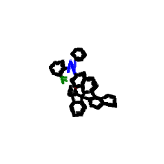 Fc1ccccc1N(c1ccccc1)c1ccc2c3c(ccc2c1)-c1c(ccc2ccccc12)C31c2ccccc2-c2ccccc21